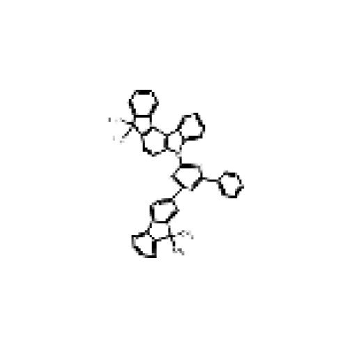 CC1(C)c2ccccc2-c2ccc(-c3cc(-c4ccccc4)nc(-n4c5ccccc5c5c6c(ccc54)C(C)(C)c4ccccc4-6)n3)cc21